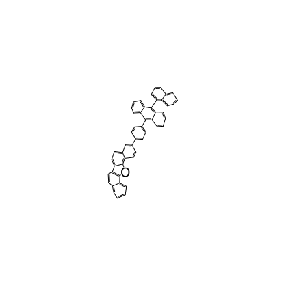 c1ccc2c(-c3c4ccccc4c(-c4ccc(-c5ccc6c(ccc7c8ccc9ccccc9c8oc67)c5)cc4)c4ccccc34)cccc2c1